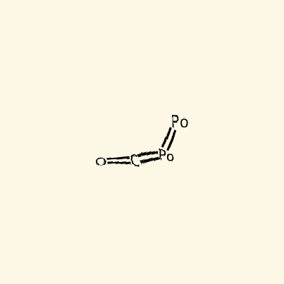 O=[C]=[Po]=[Po]